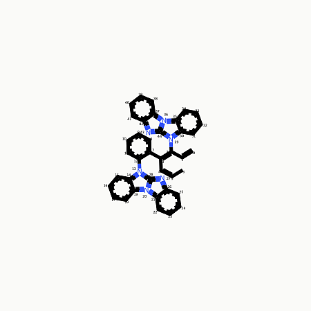 C=C/C(=C(\C=C/C)c1ccccc1-n1c2ccccc2n2c3ccccc3nc12)n1c2ccccc2n2c3ccccc3nc12